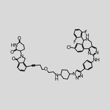 O=C1CCC(N2Cc3c(C#CCCOCCNC4CCC(n5cc(-c6ccc(Nc7ncc8c(n7)-c7ccc(Cl)cc7C(c7c(F)cccc7F)NC8)cc6)nn5)CC4)cccc3C2=O)C(=O)N1